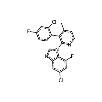 Cc1ccnc(-n2cnc3cc(Cl)cc(F)c32)c1-c1ccc(F)cc1Cl